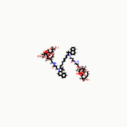 CC1(C)C(/C=C/C=C/C=C/C=C2/N(CCC(=O)NCCCO[C@H]3[C@H]4CCCOC5[C@@H](CO)OC(OC([C@@H](CO)O4)[C@@H]3O)[C@H](O)[C@H]5O)c3ccc4ccccc4c3C2(C)C)=[N+](CCC(=O)NCCCO[C@H]2[C@H]3OC4[C@@H](CO)OC(CCCO[C@@H]([C@@H]2O)[C@@H](CO)O3)[C@H](O)[C@H]4O)c2ccc3ccccc3c21